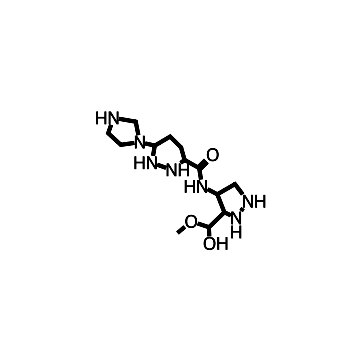 COC(O)C1NNCC1NC(=O)C1CCC(N2CCNC2)NN1